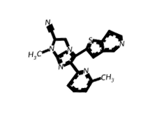 Cc1cccc(-c2nc3n(c2-c2cc4cnccc4s2)CC(C#N)N3C)n1